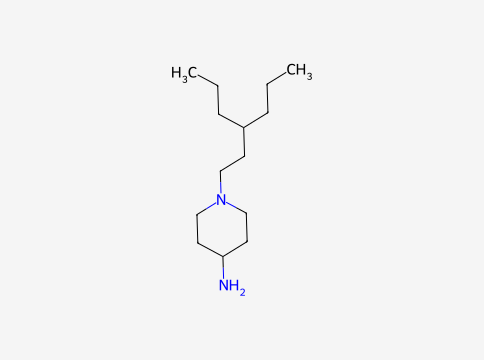 CCCC(CCC)CCN1CCC(N)CC1